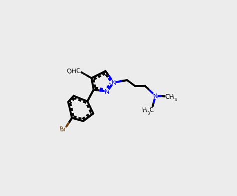 CN(C)CCCn1cc(C=O)c(-c2ccc(Br)cc2)n1